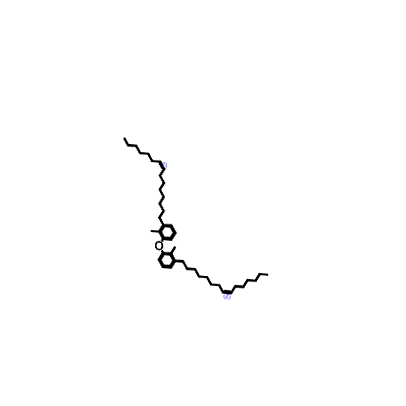 CCCCCC/C=C\CCCCCCCc1cccc(Oc2cccc(CCCCCCC/C=C\CCCCCC)c2C)c1C